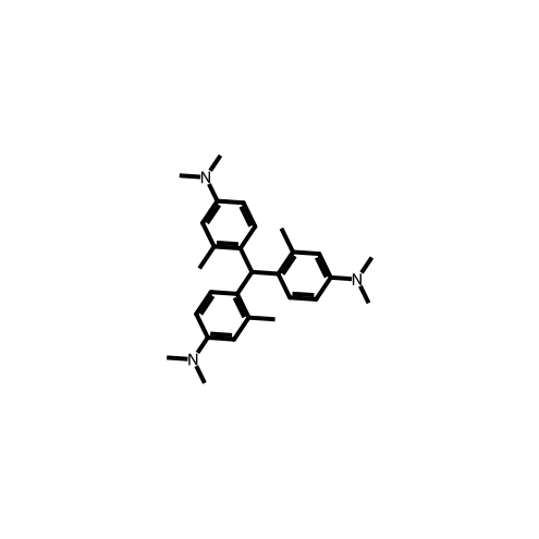 Cc1cc(N(C)C)ccc1C(c1ccc(N(C)C)cc1C)c1ccc(N(C)C)cc1C